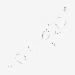 C#Cc1ccc2[nH]c3c(C#N)c(C4CCC(c5ccc(Cl)cc5)CC4)nn3c(=O)c2c1